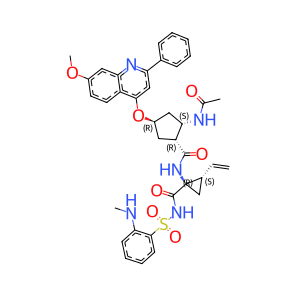 C=C[C@@H]1C[C@]1(NC(=O)[C@@H]1C[C@@H](Oc2cc(-c3ccccc3)nc3cc(OC)ccc23)C[C@@H]1NC(C)=O)C(=O)NS(=O)(=O)c1ccccc1NC